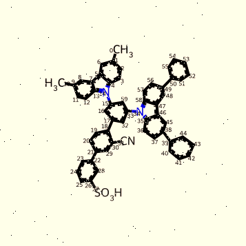 Cc1ccc2c(c1)c1cc(C)ccc1n2-c1cc(-c2ccc(-c3cccc(S(=O)(=O)O)c3)cc2C#N)cc(-n2c3ccc(-c4ccccc4)cc3c3cc(-c4ccccc4)ccc32)c1